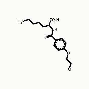 NCCCC[C@H](NC(=O)c1ccc(OCCCl)cc1)C(=O)O